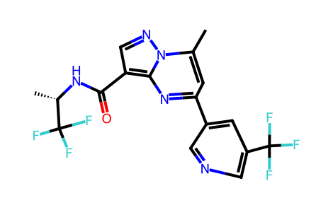 Cc1cc(-c2cncc(C(F)(F)F)c2)nc2c(C(=O)N[C@@H](C)C(F)(F)F)cnn12